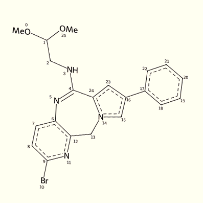 COC(CNC1=Nc2ccc(Br)nc2Cn2cc(-c3ccccc3)cc21)OC